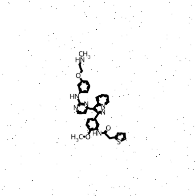 CNCCOc1cccc(Nc2nccc(-c3c(-c4ccc(OC)c(NC(=O)Cc5cccs5)c4)nn4ccccc34)n2)c1